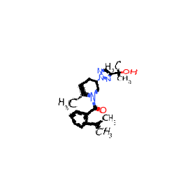 CC(C)c1ccccc1C(=O)N1C[C@H](n2ncc(C(C)(C)O)n2)CC[C@H]1C